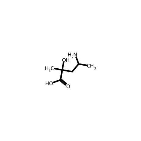 CC(N)CC(C)(O)C(=O)O